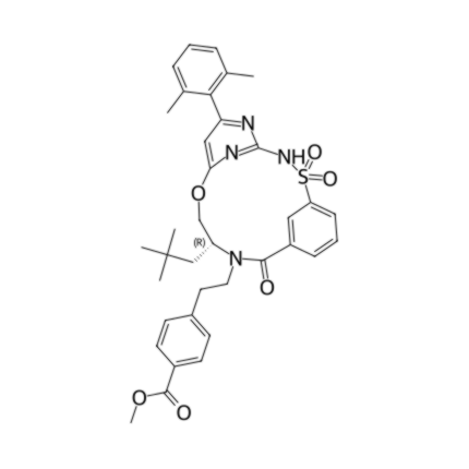 COC(=O)c1ccc(CCN2C(=O)c3cccc(c3)S(=O)(=O)Nc3nc(cc(-c4c(C)cccc4C)n3)OC[C@H]2CC(C)(C)C)cc1